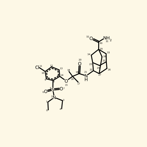 CCN(CC)S(=O)(=O)c1cc(Cl)ccc1OC(C)(C)C(=O)NC1C2CC3CC1CC(C(N)=O)(C3)C2